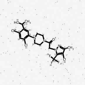 Cc1nn(CC(=O)N2CCN(c3cc(C(C)O)c(Cl)cc3Cl)CC2)c(C(F)(F)F)c1Cl